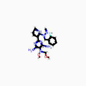 C=NN(Cc1ccccc1F)c1ncccc1-c1nc(N)c(N(COC)OC)c(N)n1